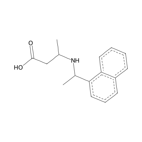 CC(CC(=O)O)NC(C)c1cccc2ccccc12